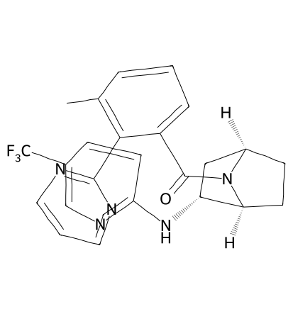 Cc1cccc(C(=O)N2[C@@H]3CC[C@H]2[C@H](Nc2ccc(C(F)(F)F)cn2)C3)c1-c1ncccn1